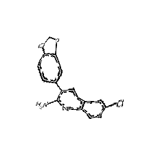 Nc1nc2ccc(Cl)cc2cc1-c1ccc2c(c1)OCO2